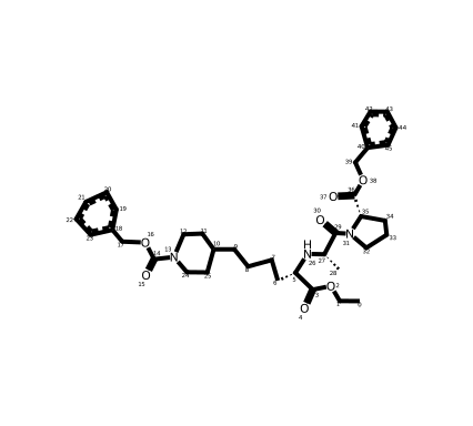 CCOC(=O)[C@H](CCCCC1CCN(C(=O)OCc2ccccc2)CC1)N[C@@H](C)C(=O)N1CCC[C@H]1C(=O)OCc1ccccc1